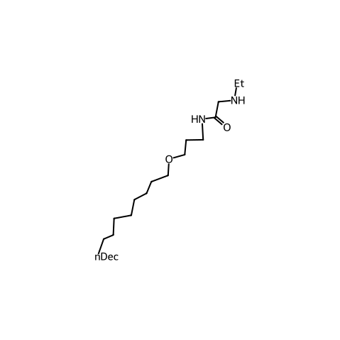 CCCCCCCCCCCCCCCCCCOCCCNC(=O)CNCC